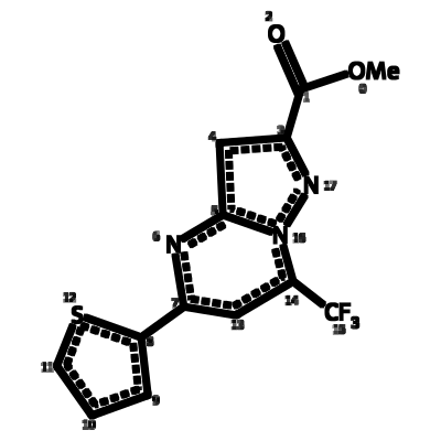 COC(=O)c1cc2nc(-c3cccs3)cc(C(F)(F)F)n2n1